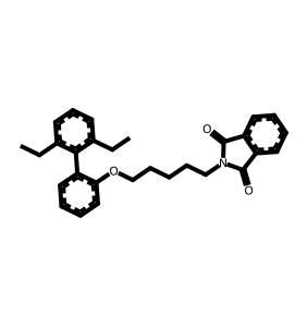 CCc1cccc(CC)c1-c1ccccc1OCCCCCN1C(=O)c2ccccc2C1=O